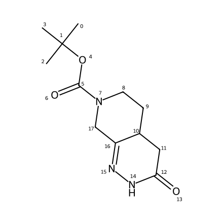 CC(C)(C)OC(=O)N1CCC2CC(=O)NN=C2C1